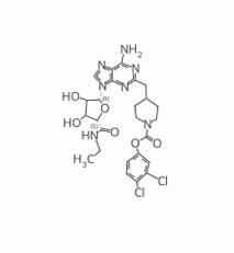 CCNC(=O)[C@H]1O[C@@H](n2cnc3c(N)nc(CC4CCN(C(=O)Oc5ccc(Cl)c(Cl)c5)CC4)nc32)C(O)C1O